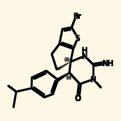 CC(C)c1ccc([C@@H]2C(=O)N(C)C(=N)N[C@@]23CCc2cc(Br)sc23)cc1